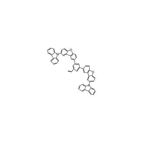 C=Cc1cc(-c2ccc3oc4ccc(-n5c6ccccc6c6ccccc65)cc4c3c2)cc(-c2ccc3oc4ccc(-n5c6ccccc6c6ccccc65)cc4c3c2)c1